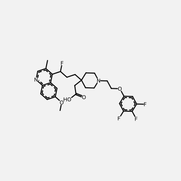 COc1ccc2ncc(C)c(C(F)CCC3(CC(=O)O)CCN(CCOc4cc(F)c(F)c(F)c4)CC3)c2c1